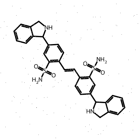 NS(=O)(=O)c1cc(C2NCc3ccccc32)ccc1C=Cc1ccc(C2NCc3ccccc32)cc1S(N)(=O)=O